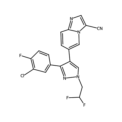 N#Cc1cnc2ccc(-c3cn(CC(F)F)nc3-c3ccc(F)c(Cl)c3)cn12